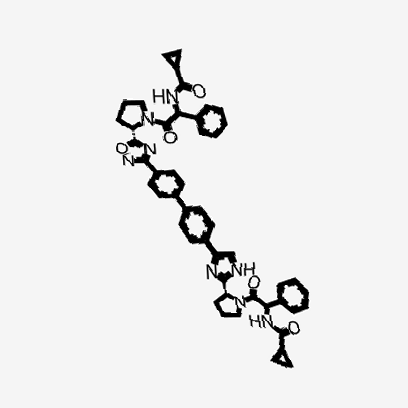 O=C(NC(C(=O)N1CCC[C@H]1c1nc(-c2ccc(-c3ccc(-c4noc([C@@H]5CCCN5C(=O)C(NC(=O)C5CC5)c5ccccc5)n4)cc3)cc2)c[nH]1)c1ccccc1)C1CC1